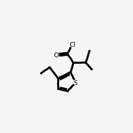 CCc1ccsc1C(C(=O)Cl)C(C)C